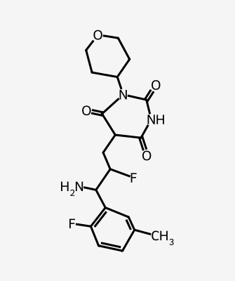 Cc1ccc(F)c(C(N)C(F)CC2C(=O)NC(=O)N(C3CCOCC3)C2=O)c1